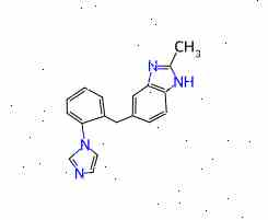 Cc1nc2cc(Cc3ccccc3-n3ccnc3)ccc2[nH]1